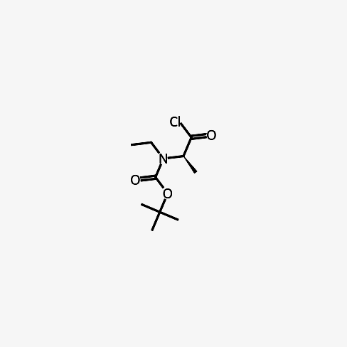 CCN(C(=O)OC(C)(C)C)[C@H](C)C(=O)Cl